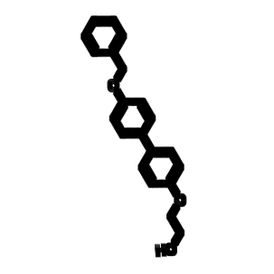 OCCOc1ccc(-c2ccc(OCc3ccccc3)cc2)cc1